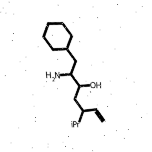 C=CC(CC(O)C(N)CC1CCCCC1)C(C)C